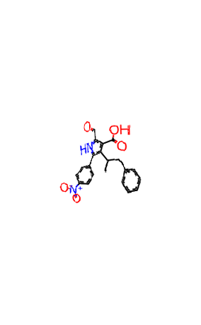 CC(Cc1ccccc1)c1c(-c2ccc([N+](=O)[O-])cc2)[nH]c(C=O)c1C(=O)O